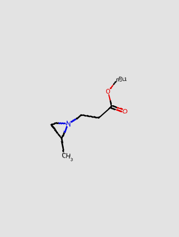 CCCCOC(=O)CCN1CC1C